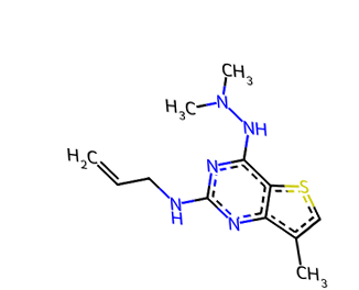 C=CCNc1nc(NN(C)C)c2scc(C)c2n1